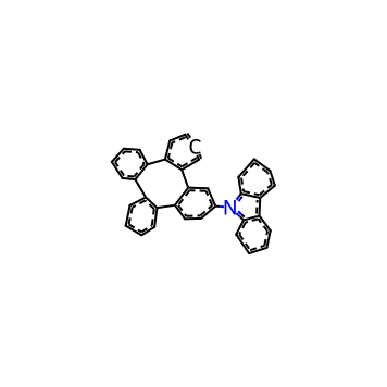 c1ccc2c(c1)-c1ccccc1-c1ccc(-n3c4ccccc4c4ccccc43)cc1-c1ccccc1-2